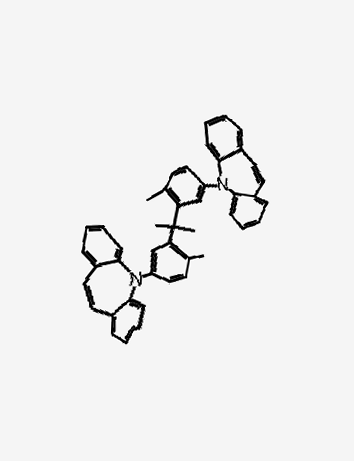 Cc1ccc(N2c3ccccc3C=Cc3ccccc32)cc1C(C)(C)c1cc(N2c3ccccc3C=Cc3ccccc32)ccc1C